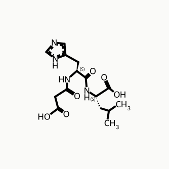 CC(C)C[C@H](NC(=O)[C@H](Cc1cnc[nH]1)NC(=O)CC(=O)O)C(=O)O